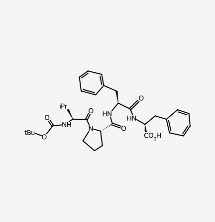 CC(C)[C@H](NC(=O)OC(C)(C)C)C(=O)N1CCC[C@H]1C(=O)N[C@@H](Cc1ccccc1)C(=O)N[C@@H](Cc1ccccc1)C(=O)O